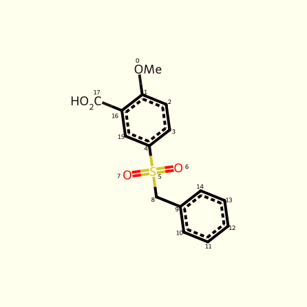 COc1ccc(S(=O)(=O)Cc2ccccc2)cc1C(=O)O